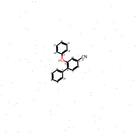 N#Cc1ccc(-c2ccccc2)c(Oc2ccccc2)c1